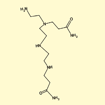 NCCN(CCNCCNCCC(N)=O)CCC(N)=O